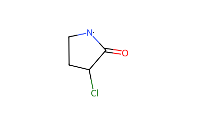 O=C1[N]CCC1Cl